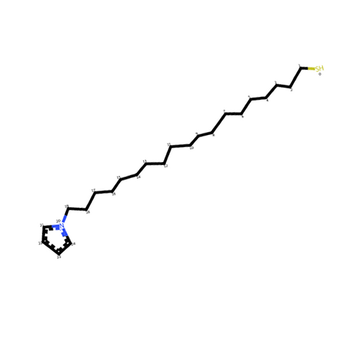 SCCCCCCCCCCCCCCCCCCCn1cccc1